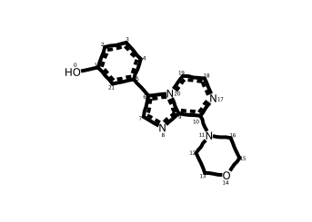 Oc1cccc(-c2cnc3c(N4CCOCC4)nccn23)c1